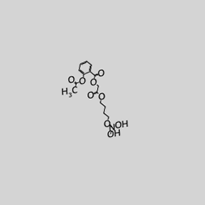 CC(=O)Oc1ccccc1C(=O)OCC(=O)OCCCCON(O)O